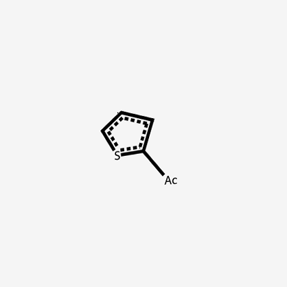 CC(=O)c1c[c]cs1